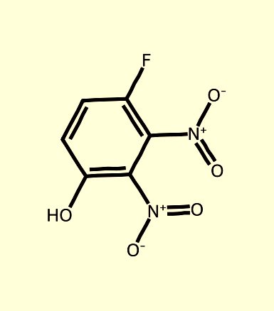 O=[N+]([O-])c1c(O)ccc(F)c1[N+](=O)[O-]